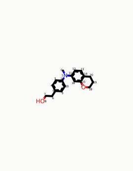 CN(c1ccc(CCO)cc1)c1ccc2c(c1)OCCC2